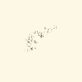 N#Cc1ccc(OCc2cc(OC3CCN(Cc4nc5ccc(C(=O)O)cc5n4C[C@@H]4CCO4)CC3)cnn2)c(F)c1